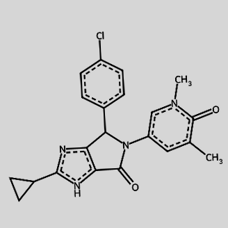 Cc1cc(N2C(=O)c3[nH]c(C4CC4)nc3C2c2ccc(Cl)cc2)cn(C)c1=O